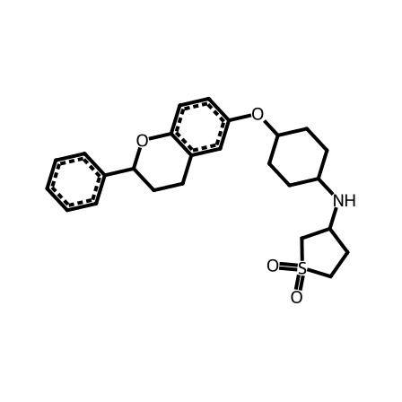 O=S1(=O)CCC(NC2CCC(Oc3ccc4c(c3)CCC(c3ccccc3)O4)CC2)C1